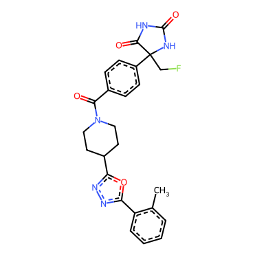 Cc1ccccc1-c1nnc(C2CCN(C(=O)c3ccc(C4(CF)NC(=O)NC4=O)cc3)CC2)o1